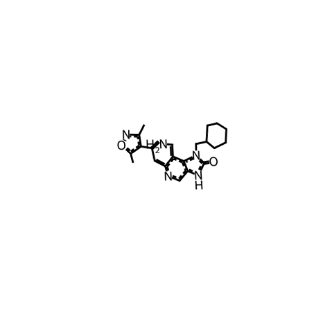 C=C(/C=c1/ncc2[nH]c(=O)n(CC3CCCCC3)c2/c1=C/N)c1c(C)noc1C